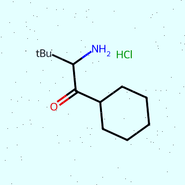 CC(C)(C)C(N)C(=O)C1CCCCC1.Cl